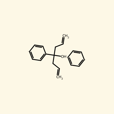 C=CCC(O)(CC=C)c1cc[c]cc1.[c]1ccccc1